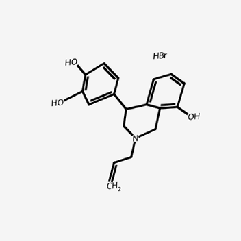 Br.C=CCN1Cc2c(O)cccc2C(c2ccc(O)c(O)c2)C1